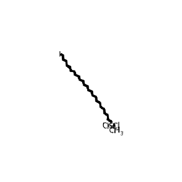 C[Si](Cl)(Cl)CCCCCCCCCCCCCCCCCCCCCCCCCI